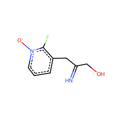 N=C(CO)Cc1ccc[n+]([O-])c1F